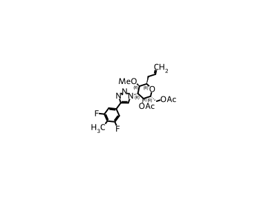 C=CC[C@H]1O[C@H](COC(C)=O)[C@H](OC(C)=O)[C@H](n2cc(-c3cc(F)c(C)c(F)c3)nn2)[C@H]1OC